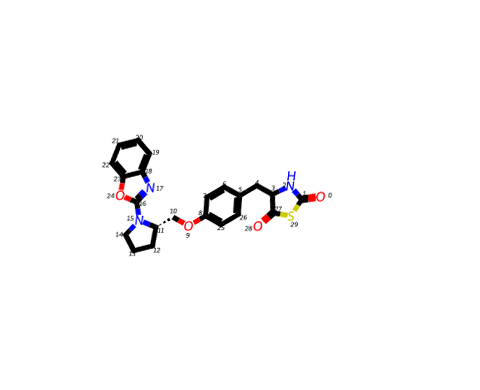 O=C1NC(Cc2ccc(OC[C@@H]3CCCN3c3nc4ccccc4o3)cc2)C(=O)S1